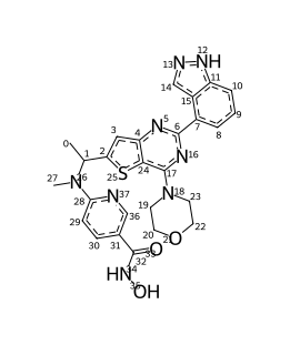 CC(c1cc2nc(-c3cccc4[nH]ncc34)nc(N3CCOCC3)c2s1)N(C)c1ccc(C(=O)NO)cn1